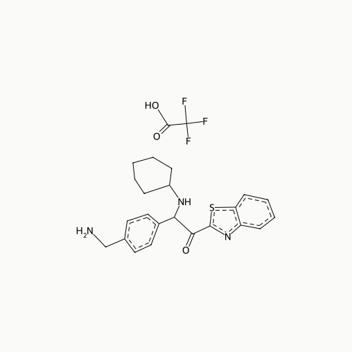 NCc1ccc(C(NC2CCCCC2)C(=O)c2nc3ccccc3s2)cc1.O=C(O)C(F)(F)F